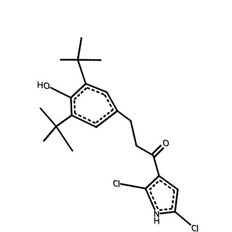 CC(C)(C)c1cc(CCC(=O)c2cc(Cl)[nH]c2Cl)cc(C(C)(C)C)c1O